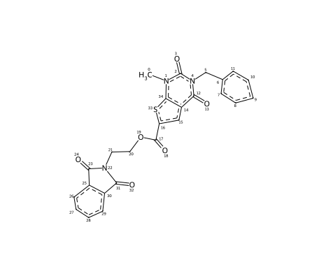 Cn1c(=O)n(Cc2ccccc2)c(=O)c2cc(C(=O)OCCN3C(=O)c4ccccc4C3=O)sc21